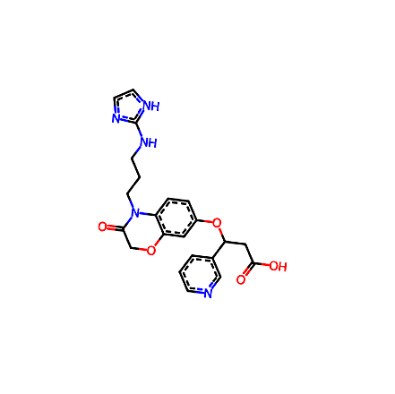 O=C(O)CC(Oc1ccc2c(c1)OCC(=O)N2CCCNc1ncc[nH]1)c1cccnc1